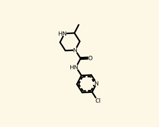 CC1CN(C(=O)Nc2ccc(Cl)nc2)CCN1